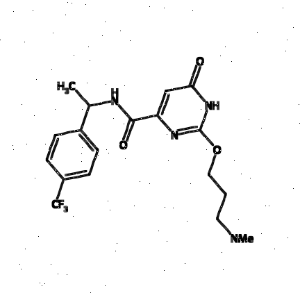 CNCCCOc1nc(C(=O)NC(C)c2ccc(C(F)(F)F)cc2)cc(=O)[nH]1